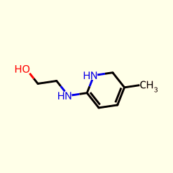 CC1=CC=C(NCCO)NC1